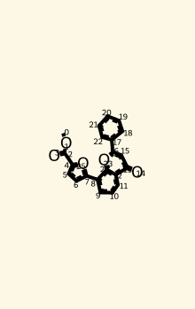 COC(=O)c1ccc(-c2cccc3c(=O)cc(-c4ccccc4)oc23)o1